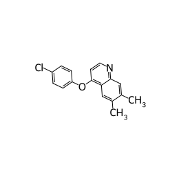 Cc1cc2nccc(Oc3ccc(Cl)cc3)c2cc1C